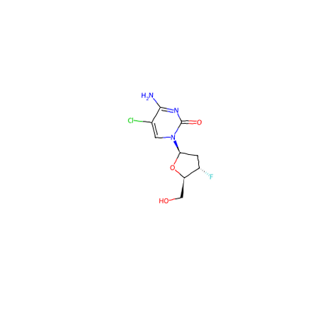 Nc1nc(=O)n([C@H]2C[C@H](F)[C@@H](CO)O2)cc1Cl